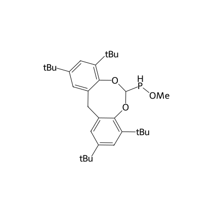 COPC1Oc2c(cc(C(C)(C)C)cc2C(C)(C)C)Cc2cc(C(C)(C)C)cc(C(C)(C)C)c2O1